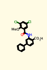 COc1c(Cl)cc(Cl)cc1C(=O)Nc1cc(-c2ccccc2)ccc1C(=O)O